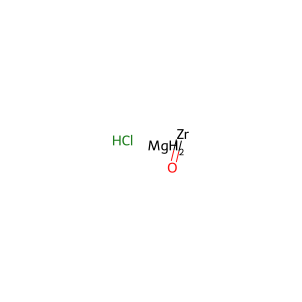 Cl.[MgH2].[O]=[Zr]